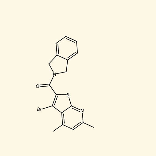 Cc1cc(C)c2c(Br)c(C(=O)N3Cc4ccccc4C3)sc2n1